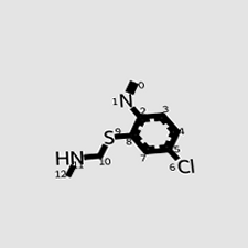 C=Nc1ccc(Cl)cc1SCNC